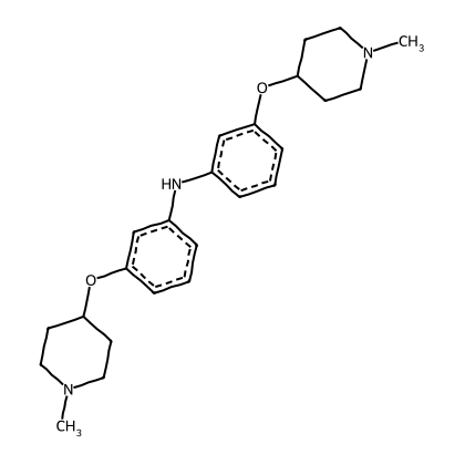 CN1CCC(Oc2cccc(Nc3cccc(OC4CCN(C)CC4)c3)c2)CC1